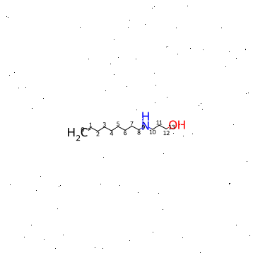 C=CCCCCCCCNCCCO